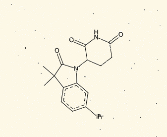 CC(C)c1ccc2c(c1)N(C1CCC(=O)NC1=O)C(=O)C2(C)C